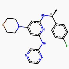 C[C@H](Nc1cc(N2CCSCC2)cc(Nc2cnccn2)n1)c1ccc(F)cc1